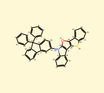 c1ccc(C2(c3ccccc3)c3ccccc3-c3cc(-n4c5ccccc5c5c6sc7ccccc7c6oc54)ccc32)cc1